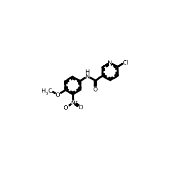 COc1ccc(NC(=O)c2ccc(Cl)nc2)cc1[N+](=O)[O-]